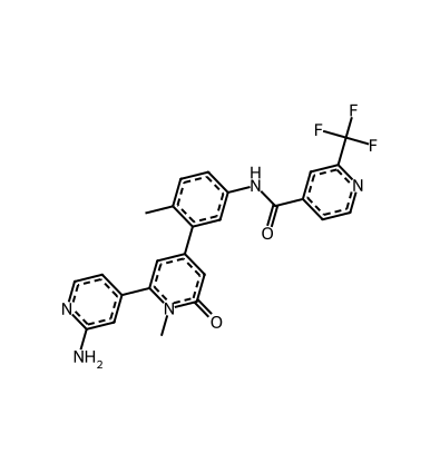 Cc1ccc(NC(=O)c2ccnc(C(F)(F)F)c2)cc1-c1cc(-c2ccnc(N)c2)n(C)c(=O)c1